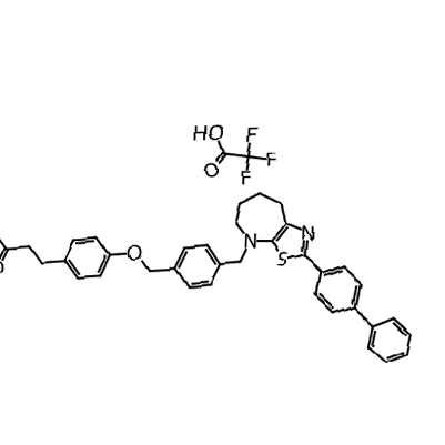 O=C(O)C(F)(F)F.O=C(O)CCc1ccc(OCc2ccc(CN3CCCCc4nc(-c5ccc(-c6ccccc6)cc5)sc43)cc2)cc1